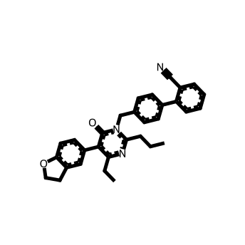 CCCc1nc(CC)c(-c2ccc3c(c2)CCO3)c(=O)n1Cc1ccc(-c2ccccc2C#N)cc1